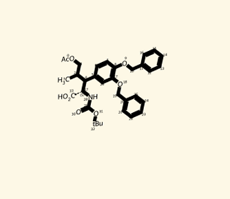 CC(=O)OCC(C)C(c1ccc(OCc2ccccc2)c(OCc2ccccc2)c1)[C@H](NC(=O)OC(C)(C)C)C(=O)O